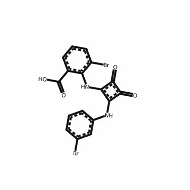 O=C(O)c1cccc(Br)c1Nc1c(Nc2cccc(Br)c2)c(=O)c1=O